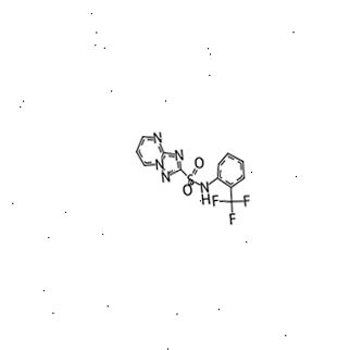 O=S(=O)(Nc1ccccc1C(F)(F)F)c1nc2ncccn2n1